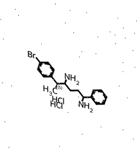 C[C@@H](c1ccc(Br)cc1)C(N)CCC(N)c1ccccc1.Cl.Cl